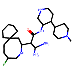 CN1CCC(C2CCNCC2NC(=O)C(C(N)N)C2CC3(CCCCC3)CCC(F)CN2)CC1